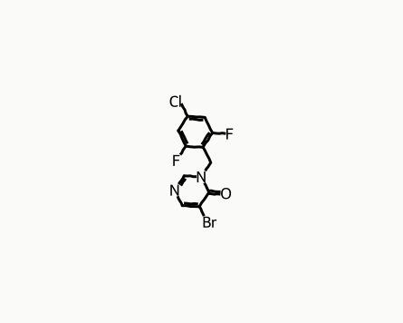 O=c1c(Br)cncn1Cc1c(F)cc(Cl)cc1F